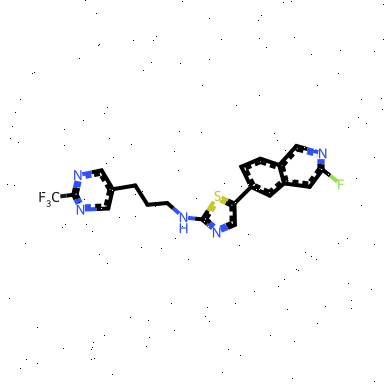 Fc1cc2cc(-c3cnc(NCCCc4cnc(C(F)(F)F)nc4)s3)ccc2cn1